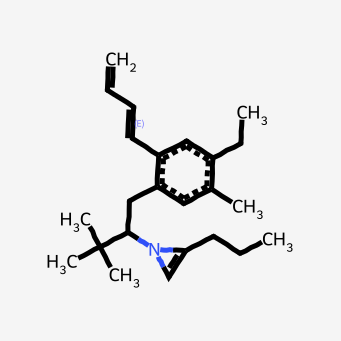 C=C/C=C/c1cc(CC)c(C)cc1CC(N1C=C1CCC)C(C)(C)C